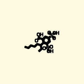 CCCCCC(CC)c1c(C(=O)O)cc(S(=O)(=O)O)cc1S(=O)(=O)O